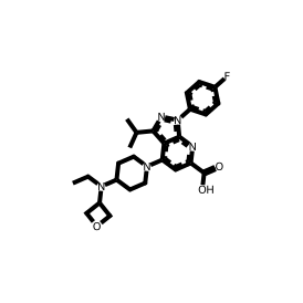 CCN(C1CCN(c2cc(C(=O)O)nc3c2c(C(C)C)nn3-c2ccc(F)cc2)CC1)C1COC1